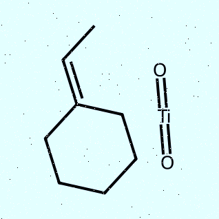 CC=C1CCCCC1.[O]=[Ti]=[O]